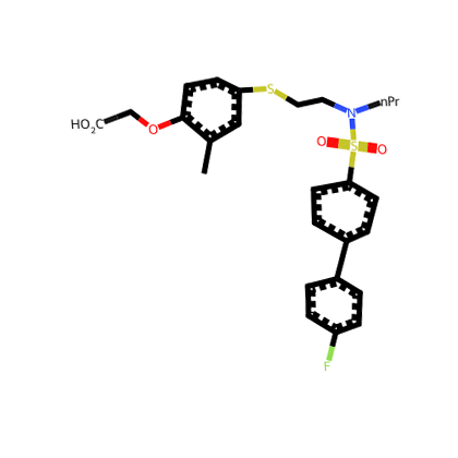 CCCN(CCSc1ccc(OCC(=O)O)c(C)c1)S(=O)(=O)c1ccc(-c2ccc(F)cc2)cc1